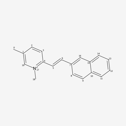 Cc1ccc(/C=C/c2ccc3ccccc3c2)[n+](C)c1